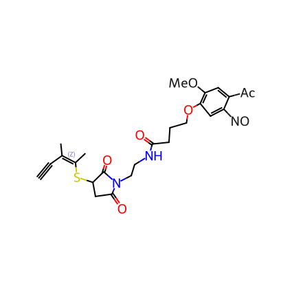 C#C/C(C)=C(/C)SC1CC(=O)N(CCNC(=O)CCCOc2cc(N=O)c(C(C)=O)cc2OC)C1=O